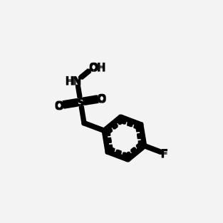 O=S(=O)(Cc1ccc(F)cc1)NO